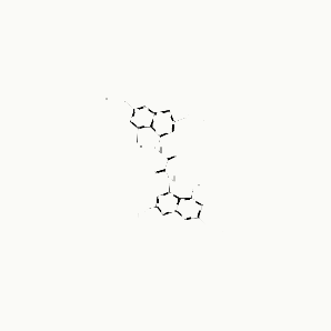 O=C(Nc1cc(S(=O)(=O)O)cc2cc(S(=O)(=O)O)cc(O)c12)C(=O)Nc1cc(S(=O)(=O)O)cc2cc(S(=O)(=O)O)cc(O)c12